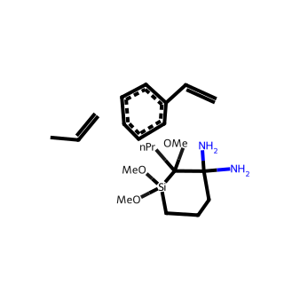 C=CC.C=Cc1ccccc1.CCCC1(OC)C(N)(N)CCC[Si]1(OC)OC